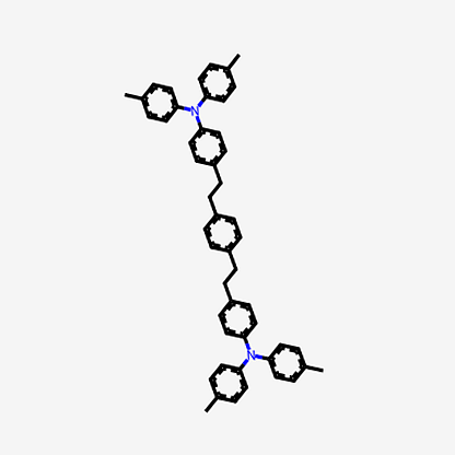 Cc1ccc(N(c2ccc(C)cc2)c2ccc(CCc3ccc(CCc4ccc(N(c5ccc(C)cc5)c5ccc(C)cc5)cc4)cc3)cc2)cc1